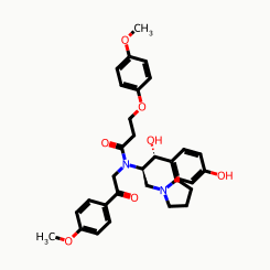 COc1ccc(OCCC(=O)N(CC(=O)c2ccc(OC)cc2)[C@H](CN2CCCC2)[C@H](O)c2ccc(O)cc2)cc1